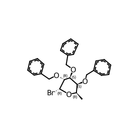 C[C@H]1O[C@H](Br)[C@H](OCc2ccccc2)[C@@H](OCc2ccccc2)[C@H]1OCc1ccccc1